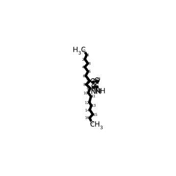 CCCCCCCCCCCCCCCCCC.N=C=O.N=C=O